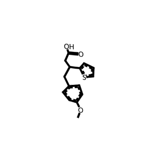 COc1ccc(CC(CC(=O)O)c2cccs2)cc1